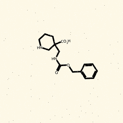 O=C(NCC1(C(=O)O)CCCNC1)OCc1ccccc1